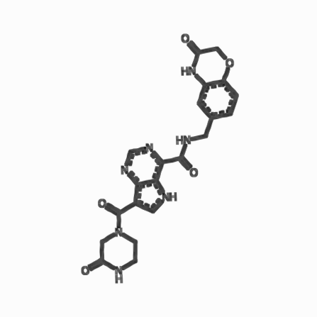 O=C1CN(C(=O)c2c[nH]c3c(C(=O)NCc4ccc5c(c4)NC(=O)CO5)ncnc23)CCN1